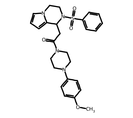 COc1ccc(N2CCN(C(=O)CC3c4cccn4CCN3S(=O)(=O)c3ccccc3)CC2)cc1